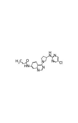 C=CC(=O)Nc1ccc2c(N3CCC(Nc4ncc(Cl)cn4)C3)ncnc2c1